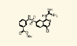 CC(C)(C)OC(=O)c1cccc(NS(=O)(=O)c2ccc3c(Cl)cnc(NC(=N)N)c3c2)c1